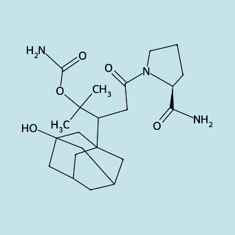 CC(C)(OC(N)=O)C(CC(=O)N1CCC[C@H]1C(N)=O)C12CC3CC(CC(O)(C3)C1)C2